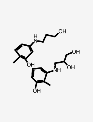 Cc1c(O)cccc1NCC(O)CO.Cc1ccc(NCCCO)cc1O